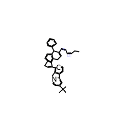 CC/C=C\C=C/C1=CCc2c(ccc3c2C(c2cccc4c2C[n+]2ccc(C(C)(C)C)cc2-4)=CC3)C1c1ccccc1